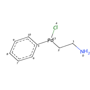 NC[CH2][Pd]([Cl])[c]1ccccc1